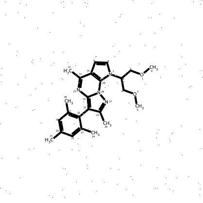 COCC(COC)n1ccc2c(C)nc3c(-c4c(C)cc(C)cc4C)c(C)nn3c21